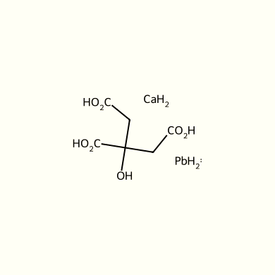 O=C(O)CC(O)(CC(=O)O)C(=O)O.[CaH2].[PbH2]